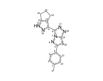 Cc1ccc(-c2nn3c(-c4n[nH]c5c4CCC5)nnc3s2)cc1